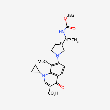 COc1c(N2CC[C@@H]([C@H](C)NC(=O)OC(C)(C)C)C2)ccc2c(=O)c(C(=O)O)cn(C3CC3)c12